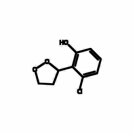 Oc1cccc(Cl)c1C1CCOO1